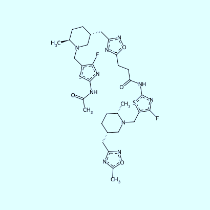 CC(=O)Nc1nc(F)c(CN2C[C@@H](Cc3noc(CCC(=O)Nc4nc(F)c(CN5C[C@H](Cc6noc(C)n6)CC[C@@H]5C)s4)n3)CC[C@@H]2C)s1